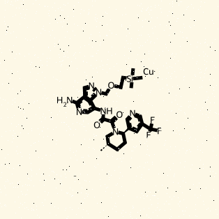 C[C@H]1CC[C@H](c2cncc(C(F)(F)F)c2)N(C(=O)C(=O)Nc2cnc(N)c3cnn(COCC[Si](C)(C)C)c23)C1.[Cu]